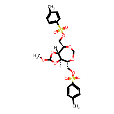 COC1O[C@H]2[C@H](O1)[C@@H](COS(=O)(=O)c1ccc(C)cc1)OCO[C@@H]2COS(=O)(=O)c1ccc(C)cc1